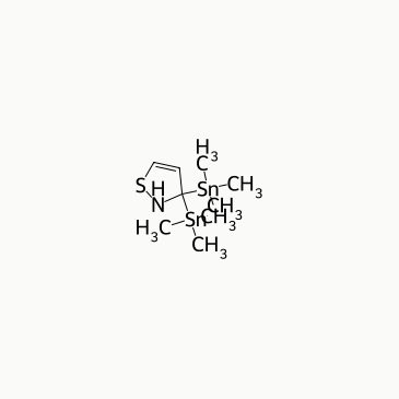 [CH3][Sn]([CH3])([CH3])[C]1([Sn]([CH3])([CH3])[CH3])C=CSN1